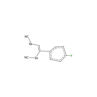 N#C[Se]C=C([Se]C#N)c1ccc(F)cc1